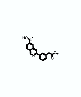 COC(=O)Cc1cccc(-c2cc3cc([C@@H](C)O)ccc3cn2)c1